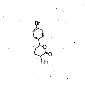 CCCC1CCC(c2ccc(Br)cc2)OC1=O